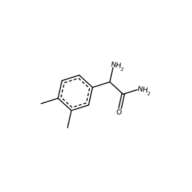 Cc1ccc(C(N)C(N)=O)cc1C